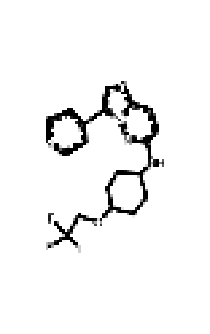 FC(F)(F)COC1CCC(Nc2ccc3ncc(-c4ccncc4)n3n2)CC1